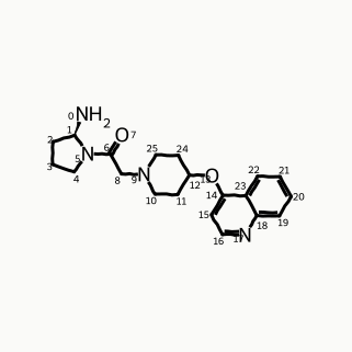 N[C@@H]1CCCN1C(=O)CN1CCC(Oc2ccnc3ccccc23)CC1